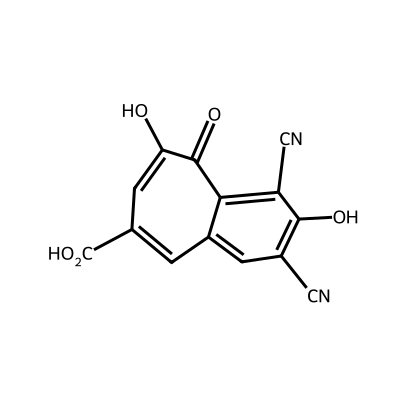 N#Cc1cc2cc(C(=O)O)cc(O)c(=O)c2c(C#N)c1O